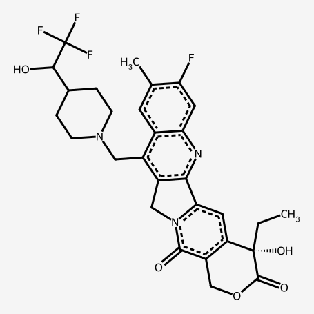 CC[C@@]1(O)C(=O)OCc2c1cc1n(c2=O)Cc2c-1nc1cc(F)c(C)cc1c2CN1CCC(C(O)C(F)(F)F)CC1